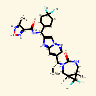 COC[C@H](c1cnn2cc([C@@H](NC(=O)c3nonc3C)C3CCC(F)(F)CC3)nc2c1)N1C[C@@H]2[C@H](CNC1=O)C2(F)F